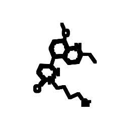 CCc1ccc2c(-c3ccc(=O)n(CCCCBr)n3)ccc(OC)c2n1